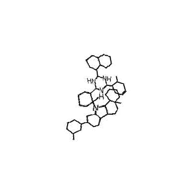 CC1CCCC(C2CCC3C4CCC5(C)CCCCC5C4N(C4(C)CCCCC4C4NC(C5CC=CCC5C)NC(C5CCCC6CCCCC65)N4)C3C2)C1